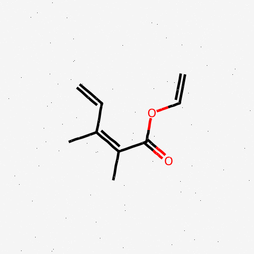 C=COC(=O)C(C)=C(C)C=C